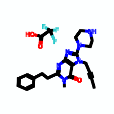 CC#CCn1c(N2CCNCC2)nc2nc(CCc3ccccc3)n(C)c(=O)c21.O=C(O)C(F)(F)F